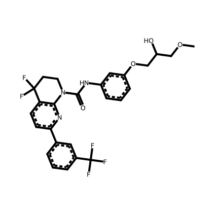 COCC(O)COc1cccc(NC(=O)N2CCC(F)(F)c3ccc(-c4cccc(C(F)(F)F)c4)nc32)c1